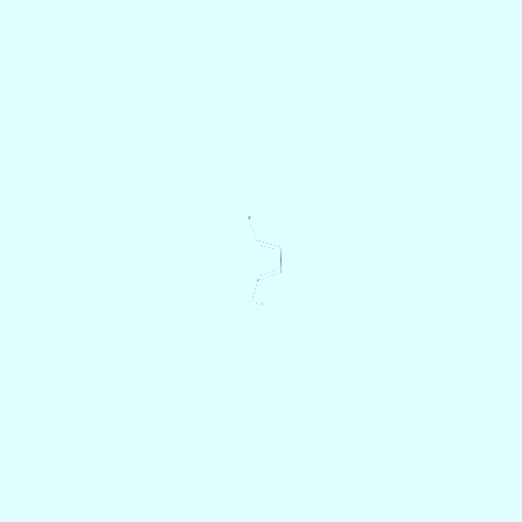 CSc1ccc(C(C)C)s1